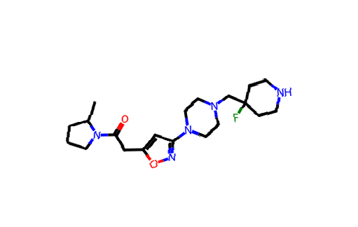 CC1CCCN1C(=O)Cc1cc(N2CCN(CC3(F)CCNCC3)CC2)no1